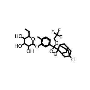 CCC1OC(Oc2cc(C3(OCC(F)(F)F)OOC34C3CC5CC4CC(Cl)(C5)C3)ccc2C)C(O)C(O)C1O